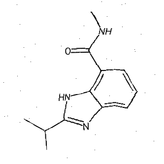 CNC(=O)c1cccc2nc(C(C)C)[nH]c12